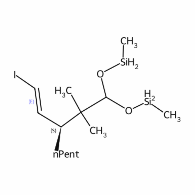 CCCCC[C@@H](/C=C/I)C(C)(C)C(O[SiH2]C)O[SiH2]C